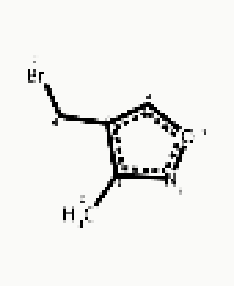 Cc1nocc1CBr